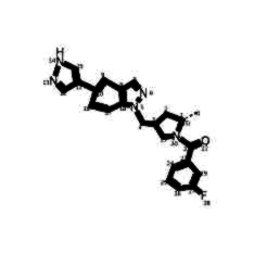 C[C@H]1CC(Cn2ncc3cc(-c4cn[nH]c4)ccc32)CN1C(=O)c1cccc(F)c1